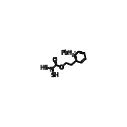 O=C(OCCc1ccccc1)N(S)S.[PbH2]